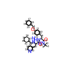 CC(C)(C)NC(=O)C(Cc1ccc(OCc2ccccc2)cc1)NC(=O)C(Cc1cccnc1)NCC1CCCCC1